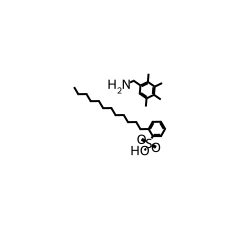 CCCCCCCCCCCCc1ccccc1S(=O)(=O)O.Cc1cc(CN)c(C)c(C)c1C